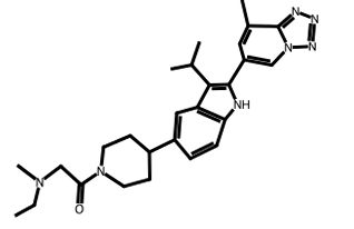 CCN(C)CC(=O)N1CCC(c2ccc3[nH]c(-c4cc(C)c5nnnn5c4)c(C(C)C)c3c2)CC1